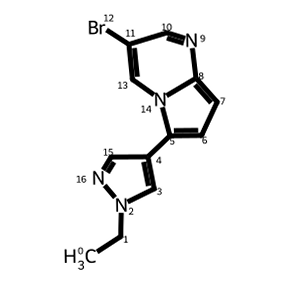 CCn1cc(-c2ccc3ncc(Br)cn23)cn1